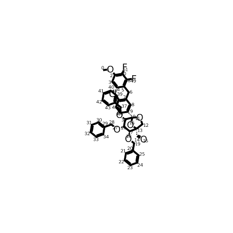 COc1ccc(Cc2cc([C@]34OC[C@](C=O)(O3)[C@@H](OCc3ccccc3)[C@H](OCc3ccccc3)[C@H]4OCc3ccccc3)ccc2Cl)c(F)c1F